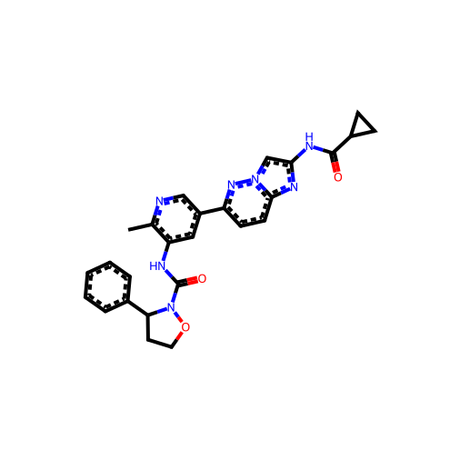 Cc1ncc(-c2ccc3nc(NC(=O)C4CC4)cn3n2)cc1NC(=O)N1OCCC1c1ccccc1